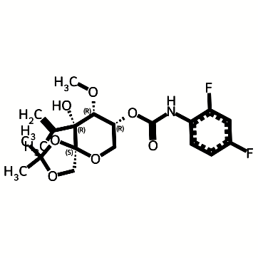 C=C(C)[C@@]1(O)[C@H](OC)[C@H](OC(=O)Nc2ccc(F)cc2F)CO[C@]12COC(C)(C)O2